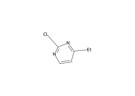 CCc1[c]cnc(Cl)n1